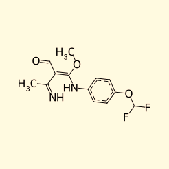 CO/C(Nc1ccc(OC(F)F)cc1)=C(\C=O)C(C)=N